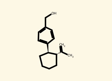 C=C(C)[C@@H]1CCCC[C@H]1c1ccc(CO)cc1